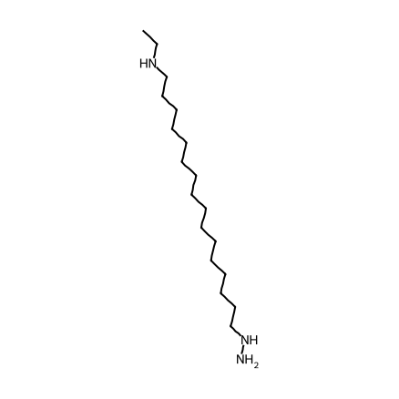 CCNCCCCCCCCCCCCCCCCNN